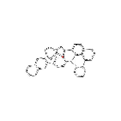 c1ccc(-c2ccccc2N(c2ccc(-c3ccc4ccccc4c3)cc2)c2ccccc2-c2cc3ccccc3o2)cc1